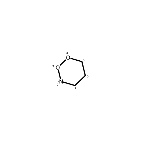 C1C[N]OOC1